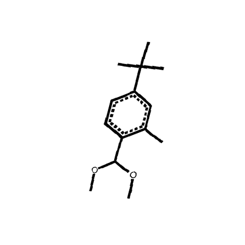 COC(OC)c1ccc(C(C)(C)C)cc1C